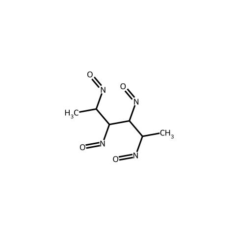 CC(N=O)C(N=O)C(N=O)C(C)N=O